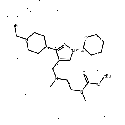 CC(C)CN1CCC(c2nn([C@H]3CCCCO3)cc2CN(C)CCN(C)C(=O)OC(C)(C)C)CC1